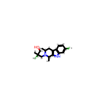 CC1Cc2c([nH]c3cc(F)ccc23)C(C)N1CC(C)(F)CO